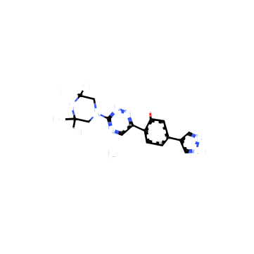 CC1(C)CN(c2ncc(-c3ccc(-c4cn[nH]c4)cc3O)nn2)CC(C)(C)N1.Cl.Cl